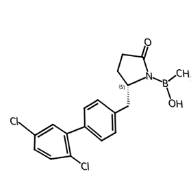 CB(O)N1C(=O)CC[C@H]1Cc1ccc(-c2cc(Cl)ccc2Cl)cc1